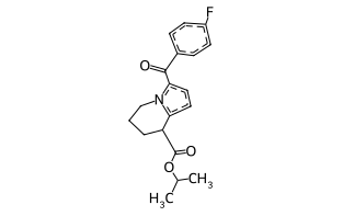 CC(C)OC(=O)C1CCCn2c(C(=O)c3ccc(F)cc3)ccc21